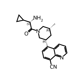 C[C@@H]1C[C@H](c2ccc(C#N)c3ncccc23)CN(C(=O)[C@@H](N)C2CC2)C1